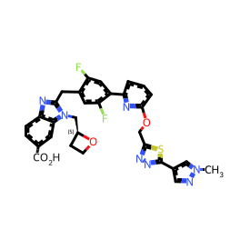 Cn1cc(-c2nnc(COc3cccc(-c4cc(F)c(Cc5nc6ccc(C(=O)O)cc6n5C[C@@H]5CCO5)cc4F)n3)s2)cn1